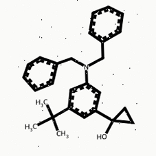 CC(C)(C)c1cc(N(Cc2ccccc2)Cc2ccccc2)cc(C2(O)CC2)c1